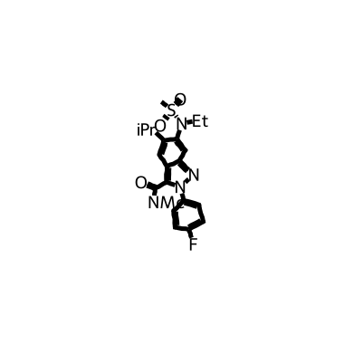 CCN(c1cc2nn(-c3ccc(F)cc3)c(C(=O)NC)c2cc1C(C)C)S(C)(=O)=O